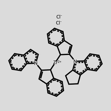 C1=C(n2ccc3ccccc32)[CH]([Zr+2][CH]2C(n3c4c(c5ccccc53)CCC4)=Cc3ccccc32)c2ccccc21.[Cl-].[Cl-]